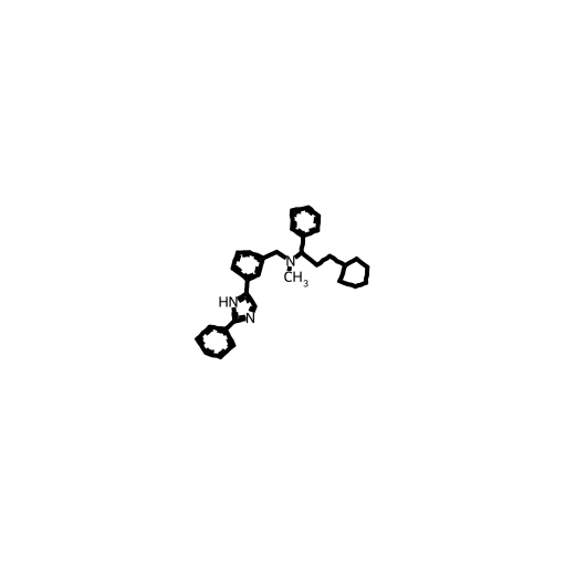 CN(Cc1cccc(-c2cnc(-c3ccccc3)[nH]2)c1)C(CCC1CCCCC1)c1ccccc1